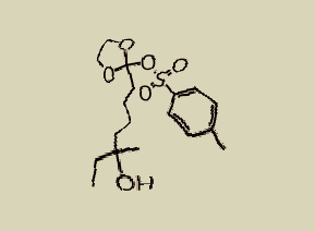 CCC(C)(O)CCCCC1(OS(=O)(=O)c2ccc(C)cc2)OCCO1